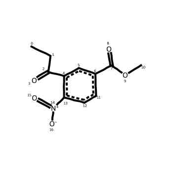 CCC(=O)c1cc(C(=O)OC)ccc1[N+](=O)[O-]